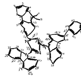 CC1(C)c2ccccc2-c2ccc(-c3nc(-n4c5ccccc5c5ccccc54)nc(-n4c5ccccc5c5cc(-c6ccccc6)ccc54)n3)cc21